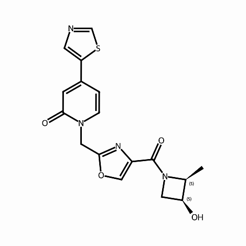 C[C@H]1[C@@H](O)CN1C(=O)c1coc(Cn2ccc(-c3cncs3)cc2=O)n1